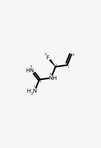 C=C[C@H](F)NC(=N)N